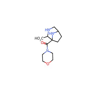 O=C(O)C1NCC2CCC1(C(=O)N1CCOCC1)N2